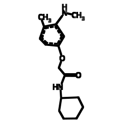 CNc1cc(OCC(=O)NC2CCCCC2)ccc1C